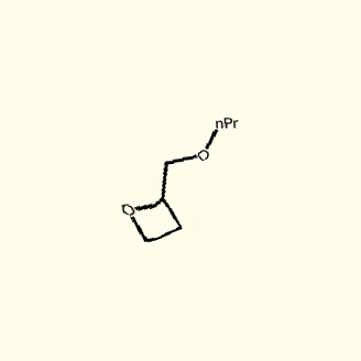 [CH2]CCOCC1CCO1